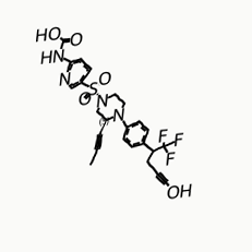 CC#C[C@H]1CN(S(=O)(=O)c2ccc(NC(=O)O)nc2)CCN1c1ccc(C(CC#CO)C(F)(F)F)cc1